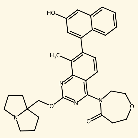 Cc1c(-c2cc(O)cc3ccccc23)ccc2c(N3CCOCCC3=O)nc(OCC34CCCN3CCC4)nc12